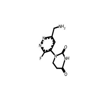 NCc1cc(N2CCC(=O)NC2=O)c(F)nn1